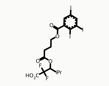 CC(C)C(OC(=O)CCCOC(=O)c1cc(I)cc(I)c1I)C(F)(F)C(=O)O